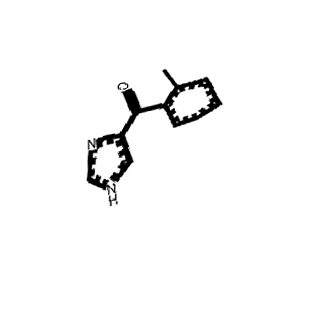 Cc1ccccc1C(=O)c1c[nH]cn1